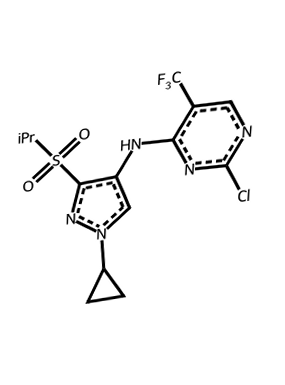 CC(C)S(=O)(=O)c1nn(C2CC2)cc1Nc1nc(Cl)ncc1C(F)(F)F